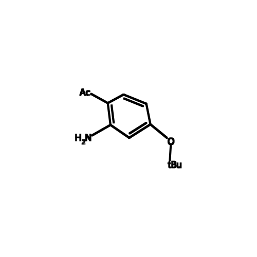 CC(=O)c1ccc(OC(C)(C)C)cc1N